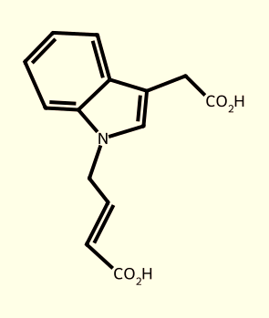 O=C(O)C=CCn1cc(CC(=O)O)c2ccccc21